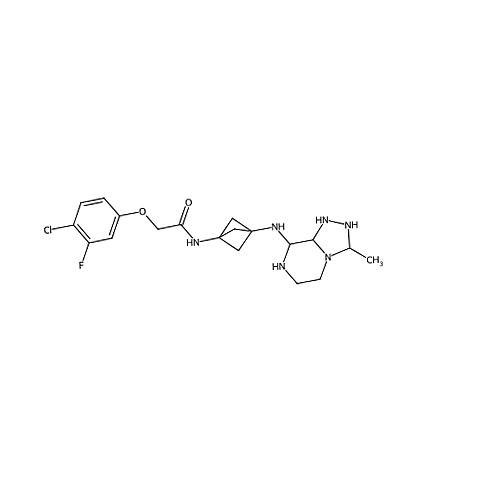 CC1NNC2C(NC34CC(NC(=O)COc5ccc(Cl)c(F)c5)(C3)C4)NCCN12